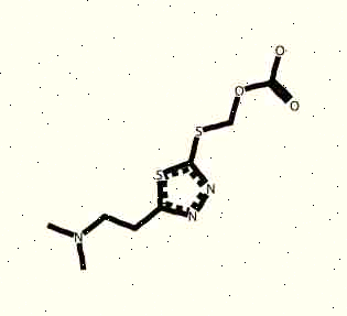 CN(C)CCc1nnc(SCOC([O])=O)s1